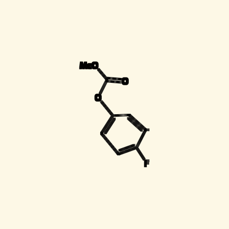 COC(=O)Oc1c[c]c(F)cc1